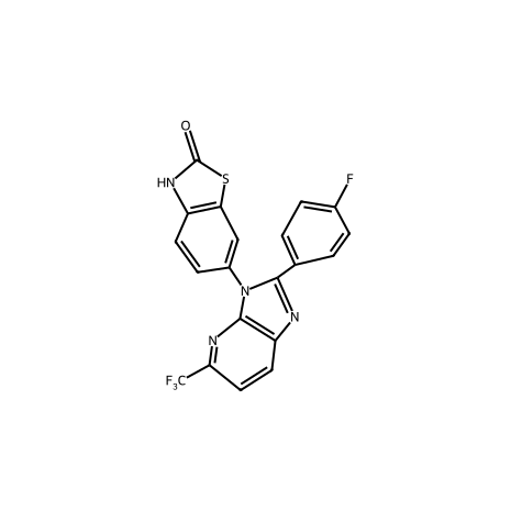 O=c1[nH]c2ccc(-n3c(-c4ccc(F)cc4)nc4ccc(C(F)(F)F)nc43)cc2s1